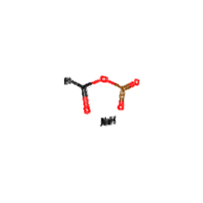 CCC(=O)O[SH](=O)=O.[NaH]